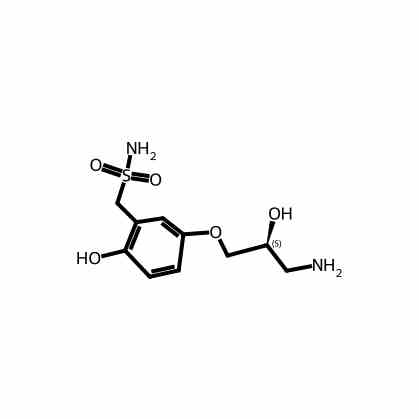 NC[C@H](O)COc1ccc(O)c(CS(N)(=O)=O)c1